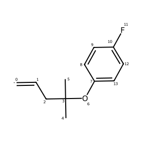 [CH]=CCC(C)(C)Oc1ccc(F)cc1